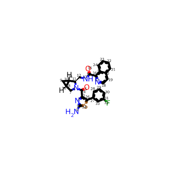 Nc1nc(C(=O)N2C[C@@H]3C[C@@H]3[C@H]2CNC(=O)c2nccc3ccccc23)c(-c2cccc(F)c2)s1